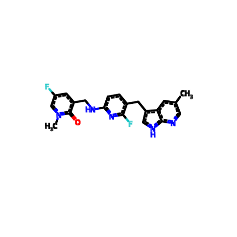 Cc1cnc2[nH]cc(Cc3ccc(NCc4cc(F)cn(C)c4=O)nc3F)c2c1